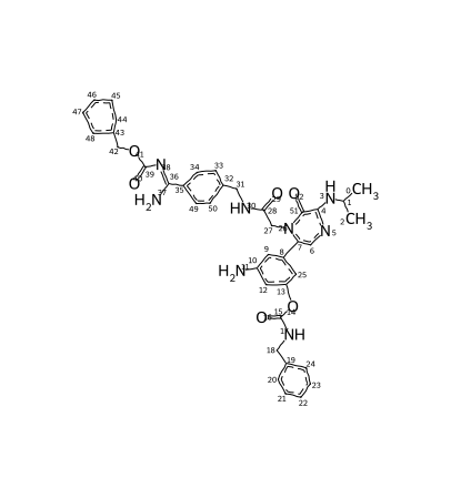 CC(C)Nc1ncc(-c2cc(N)cc(OC(=O)NCc3ccccc3)c2)n(CC(=O)NCc2ccc(/C(N)=N/C(=O)OCc3ccccc3)cc2)c1=O